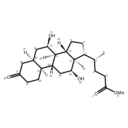 COC(=O)CC[C@@H](C)[C@H]1CC[C@H]2[C@@H]3[C@H](O)C[C@@H]4CC(=O)CC[C@]4(C)[C@H]3C[C@H](O)[C@]12C